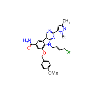 CCn1nc(C)cc1-c1ncc2c3cc(C(N)=O)cc(OCc4ccc(OC)cc4)c3n(C/C=C/CBr)c2n1